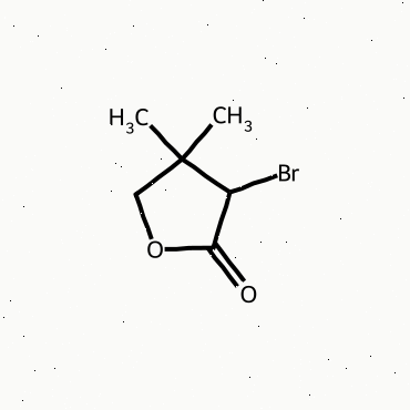 CC1(C)COC(=O)C1Br